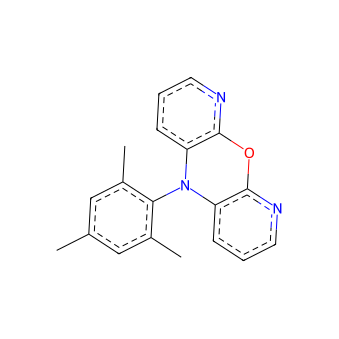 Cc1cc(C)c(N2c3cccnc3Oc3ncccc32)c(C)c1